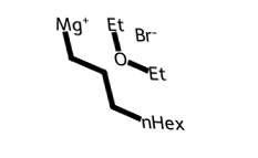 CCCCCCCC[CH2][Mg+].CCOCC.[Br-]